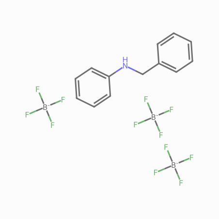 F[B-](F)(F)F.F[B-](F)(F)F.F[B-](F)(F)F.c1ccc(CNc2ccccc2)cc1